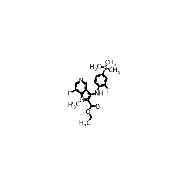 CCOC(=O)c1c(Nc2ccc([Si](C)(C)C)cc2F)c2cncc(F)c2n1C